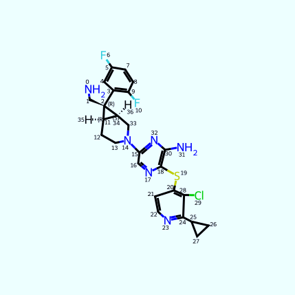 NC[C@]1(c2cc(F)ccc2F)[C@@H]2CCN(c3cnc(Sc4ccnc(C5CC5)c4Cl)c(N)n3)C[C@@H]21